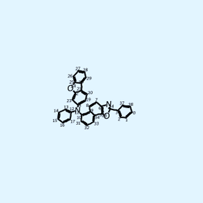 c1ccc(-c2nc3ccc4c(N(c5ccccc5)c5ccc6c(c5)oc5ccccc56)cccc4c3o2)cc1